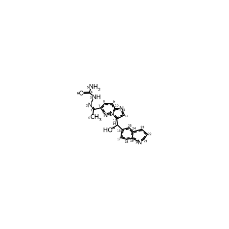 C/C(=N/NC(N)=O)c1ccc2ncc(C(O)c3ccc4ncccc4c3)n2n1